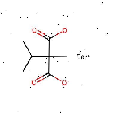 CC(C)C(C)(C(=O)[O-])C(=O)[O-].[Ca+2]